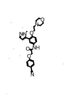 Cn1nccc1-c1cc(NC(=O)COc2ccc(C#N)cc2)ccc1OCCN1CCOCC1